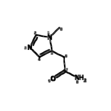 Cn1cncc1CC(N)=O